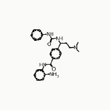 CN(C)CCC(NC(=O)Nc1ccccc1)c1ccc(C(=O)Nc2ccccc2N)cc1